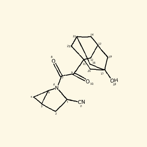 N#CC1CC2CC2N1C(=O)C(=O)C12CC3CC(CC(O)(C3)C1)C2